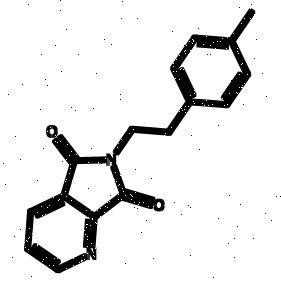 Cc1ccc(CCN2C(=O)c3cccnc3C2=O)cc1